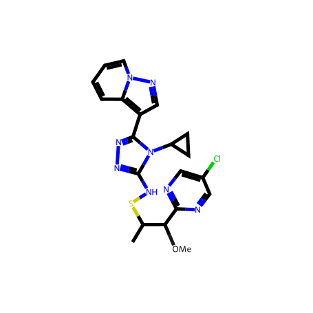 COC(c1ncc(Cl)cn1)C(C)SNc1nnc(-c2cnn3ccccc23)n1C1CC1